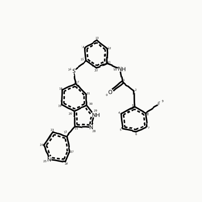 O=C(Cc1ccccc1F)Nc1cccc(Sc2ccc3c(-c4ccncc4)n[nH]c3c2)c1